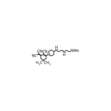 CNCCNCCNC1CCN(C2=C(C#N)C(=C(C#N)C#N)CC(C)(C)C2)CC1